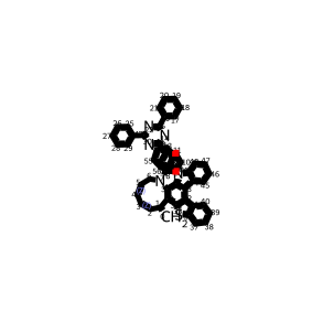 C=C1/C=C\C=C/CN(c2cccc(-c3nc(-c4ccccc4)nc(-c4ccccc4)n3)c2)c2c1c1sc3ccccc3c1c1c3ccccc3n(-c3ccccc3)c21